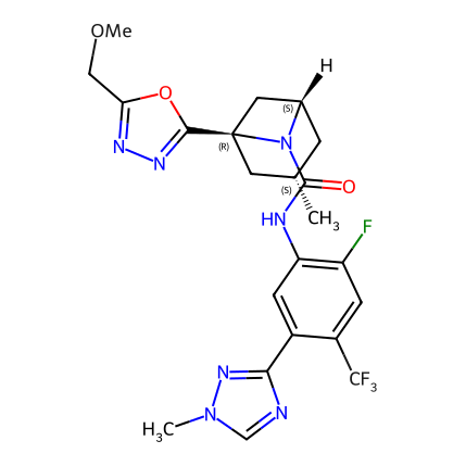 COCc1nnc([C@@]23C[C@@H](C)C[C@@H](C2)N3C(=O)Nc2cc(-c3ncn(C)n3)c(C(F)(F)F)cc2F)o1